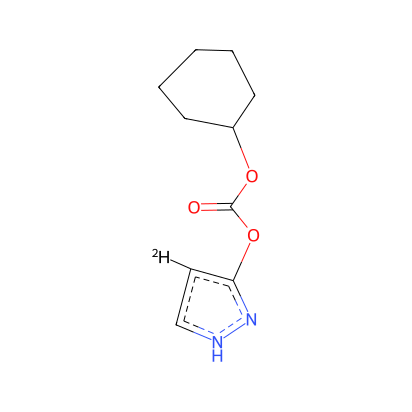 [2H]c1c[nH]nc1OC(=O)OC1CCCCC1